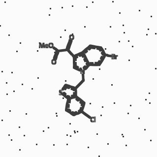 COC(=O)C(=O)c1cn(Cc2csc3ccc(Cl)cc23)c2cc(Br)ccc12